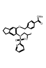 COC(=O)c1ccc(COc2cc3c(cc2N(CC(F)F)S(=O)(=O)c2ccccn2)CCC3)cc1